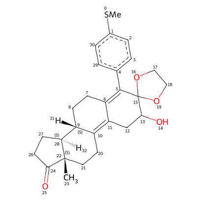 CSc1ccc(C2=C3CC[C@@H]4C(=C3CC(O)C23OCCO3)CC[C@]2(C)C(=O)CC[C@@H]42)cc1